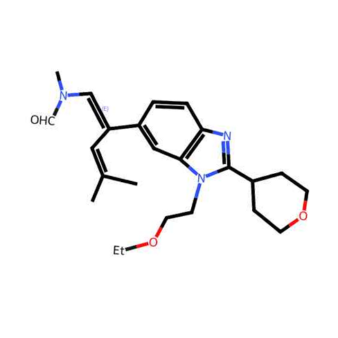 CCOCCn1c(C2CCOCC2)nc2ccc(/C(C=C(C)C)=C/N(C)C=O)cc21